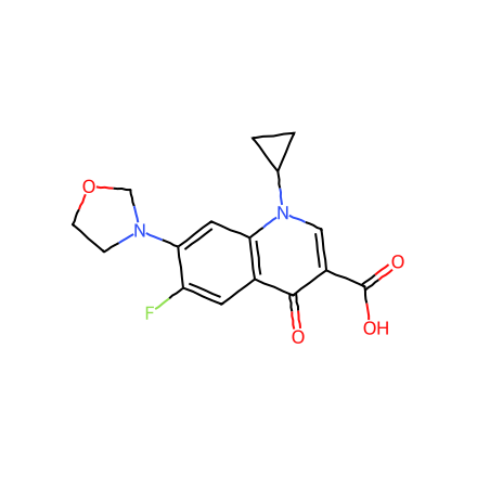 O=C(O)c1cn(C2CC2)c2cc(N3CCOC3)c(F)cc2c1=O